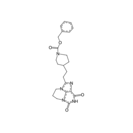 O=C(OCc1ccccc1)N1CCC(CCc2nc3c(=O)[nH]c(=O)n4c3n2CCC4)CC1